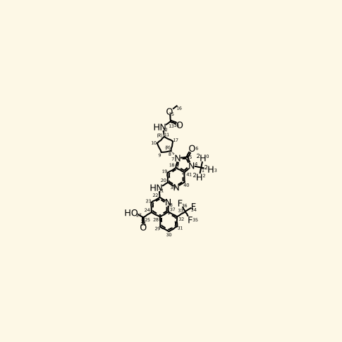 [2H]C([2H])([2H])n1c(=O)n([C@@H]2CC[C@@H](NC(=O)OC)C2)c2cc(Nc3cc(C(=O)O)c4cccc(C(F)(F)F)c4n3)ncc21